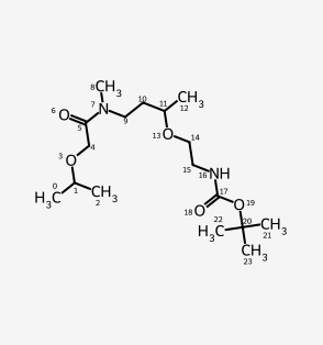 CC(C)OCC(=O)N(C)CCC(C)OCCNC(=O)OC(C)(C)C